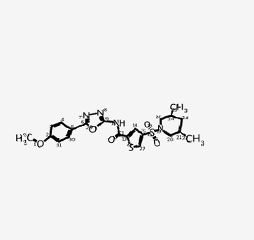 COc1ccc(-c2nnc(NC(=O)c3cc(S(=O)(=O)N4C[C@H](C)C[C@H](C)C4)cs3)o2)cc1